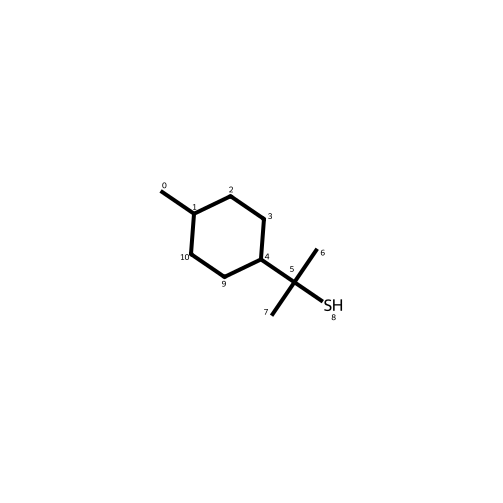 CC1CCC(C(C)(C)S)CC1